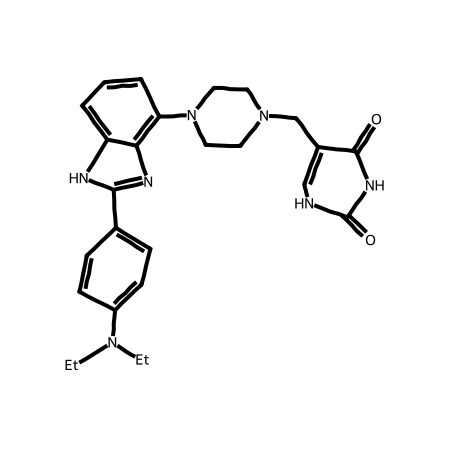 CCN(CC)c1ccc(-c2nc3c(N4CCN(Cc5c[nH]c(=O)[nH]c5=O)CC4)cccc3[nH]2)cc1